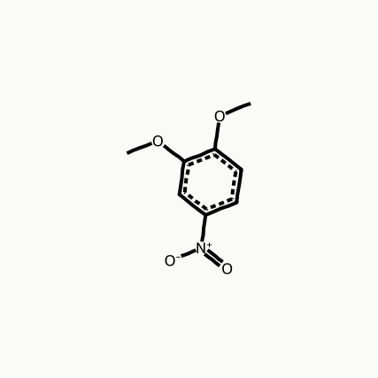 COc1ccc([N+](=O)[O-])cc1OC